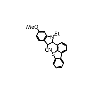 CCN1c2cc(OC)ccc2C(C#N)C1c1cccc2c1sc1ccccc12